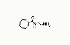 NCCNC(=O)C1=CC=CC=CC=C1